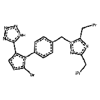 CC(C)Cc1nc(CC(C)C)n(Cc2ccc(-n3c(Br)ccc3-c3nnn[nH]3)cc2)n1